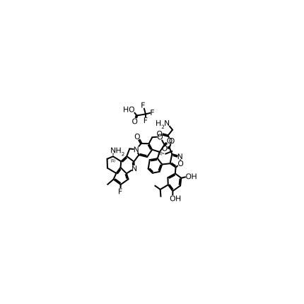 CC[C@@]1(c2ccccc2-c2c(C(=O)OC(=O)CN)noc2-c2cc(C(C)C)c(O)cc2O)C(=O)OCc2c1cc1n(c2=O)Cc2c-1nc1cc(F)c(C)c3c1c2[C@@H](N)CC3.O=C(O)C(F)(F)F